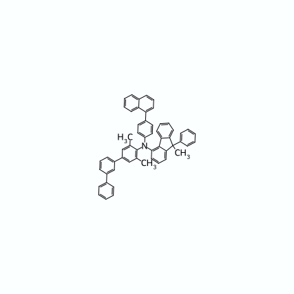 Cc1cc(-c2cccc(-c3ccccc3)c2)cc(C)c1N(c1ccc(-c2cccc3ccccc23)cc1)c1cccc2c1-c1ccccc1C2(C)c1ccccc1